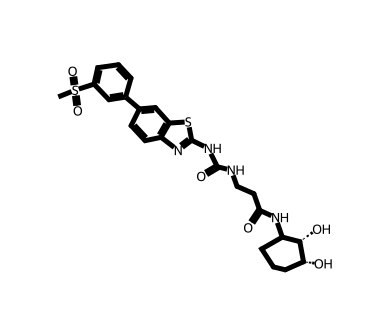 CS(=O)(=O)c1cccc(-c2ccc3nc(NC(=O)NCCC(=O)NC4CCC[C@@H](O)[C@H]4O)sc3c2)c1